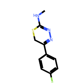 CNC1=NN=C(c2ccc(F)cc2)CS1